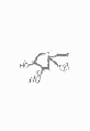 OC1COC(O)(CF)CC1O